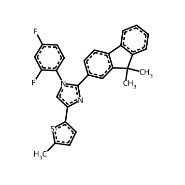 Cc1ccc(-c2cn(-c3ccc(F)cc3F)c(-c3ccc4c(c3)C(C)(C)c3ccccc3-4)n2)s1